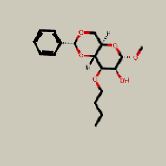 CCCCO[C@@H]1[C@H](O)[C@@H](OC)O[C@@H]2CO[C@@H](c3ccccc3)O[C@@H]12